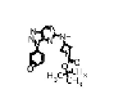 CC(C)(C)OC(=O)N1CC(Nc2ncc3nnn(-c4ccc5c(c4)O5)c3n2)C1